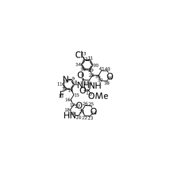 COC(=O)N[C@H](C(=O)Nc1cncc(F)c1CC[C@@H]1CNCC2(CCOCC2)O1)[C@@H](c1ccc(Cl)cc1)C1CCOCC1